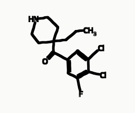 CCCC1(C(=O)c2cc(F)c(Cl)c(Cl)c2)CCNCC1